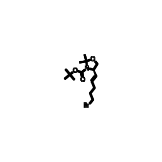 CC(C)(C)OC(=O)N1[C@H](C=CCCCBr)COC1(C)C